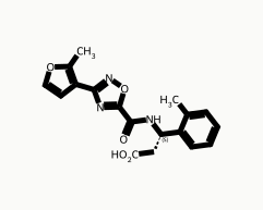 Cc1ccccc1[C@H](CC(=O)O)NC(=O)c1nc(-c2ccoc2C)no1